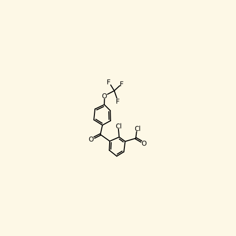 O=C(Cl)c1cccc(C(=O)c2ccc(OC(F)(F)F)cc2)c1Cl